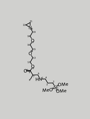 CO[Si](CCCNCC(C)C(=O)OCCOCCOCCN1CC1)(OC)OC